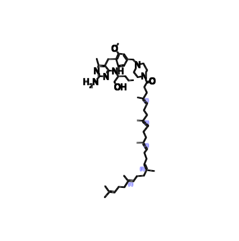 CCCC(CO)Nc1nc(N)nc(C)c1Cc1ccc(CN2CCN(C(=O)CC/C(C)=C/CC/C(C)=C/CC/C(C)=C/CC/C=C(\C)CC/C=C(\C)CCC=C(C)C)CC2)cc1OC